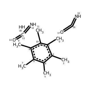 Cc1c(C)c(C)c(C)c(C)c1C.N=C=O.N=C=O.[HH]